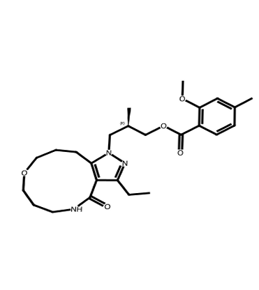 CCc1nn(C[C@@H](C)COC(=O)c2ccc(C)cc2OC)c2c1C(=O)NCCCOCCC2